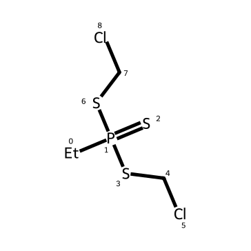 CCP(=S)(SCCl)SCCl